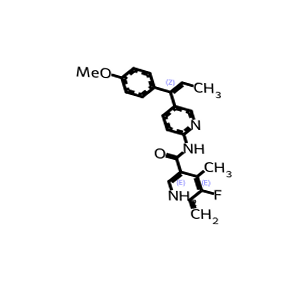 C=C/C(F)=C(C)\C(=C/N)C(=O)Nc1ccc(/C(=C\C)c2ccc(OC)cc2)cn1